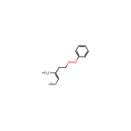 CCCCCCCCCC=C(CCOOc1ccccc1)C(=O)O